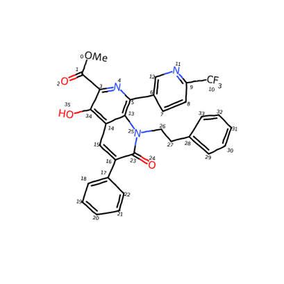 COC(=O)c1nc(-c2ccc(C(F)(F)F)nc2)c2c(cc(-c3ccccc3)c(=O)n2CCc2ccccc2)c1O